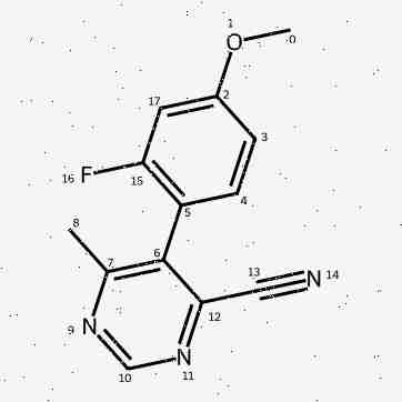 COc1ccc(-c2c(C)ncnc2C#N)c(F)c1